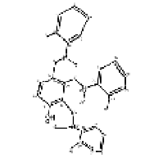 Cc1ccccc1N(C)Cc1ccc(O)c(CN(C)c2ccccc2C)c1CN(C)c1ccccc1C